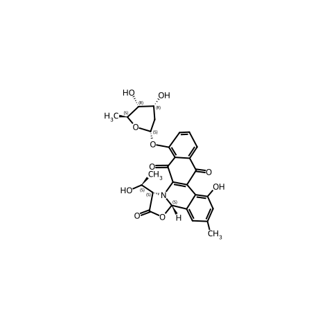 Cc1cc(O)c2c(c1)[C@@H]1OC(=O)[C@H]([C@H](C)O)N1C1=C2C(=O)c2cccc(O[C@H]3C[C@@H](O)[C@@H](O)[C@H](C)O3)c2C1=O